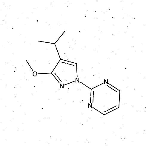 COc1nn(-c2ncccn2)cc1C(C)C